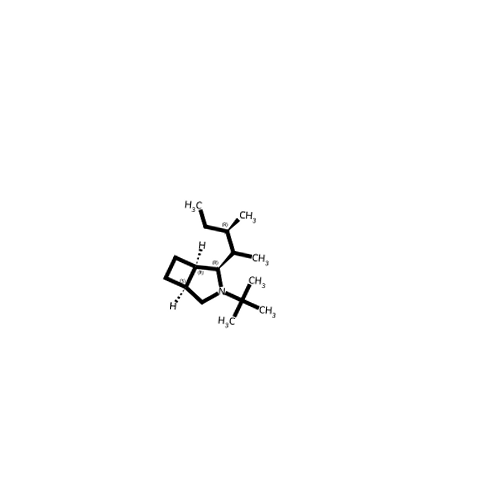 CC[C@@H](C)C(C)[C@@H]1[C@@H]2CC[C@@H]2CN1C(C)(C)C